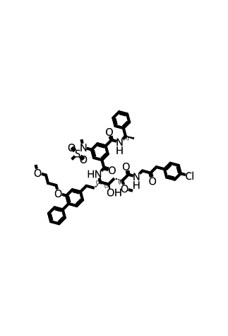 COCCCOc1cc(CC[C@H](NC(=O)c2cc(C(=O)N[C@H](C)c3ccccc3)cc(N(C)S(C)(=O)=O)c2)[C@@H](O)C[C@@H](OC)C(=O)NCC(=O)Cc2ccc(Cl)cc2)ccc1-c1ccccc1